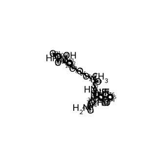 CN(CCOCCOCCOc1ccc2c(c1)CN(C1CCC(=O)NC1=O)C2O)C(=O)CCNc1nc(N2CCN(C(N)=O)CC2)c2cc(Cl)c(-c3c(O)cccc3F)c(F)c2n1